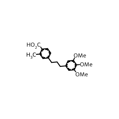 COc1cc(CCCc2ccc(C(=O)O)c(C)c2)cc(OC)c1OC